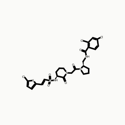 O=C(NC[C@H]1CCCN1C(=O)CN1CCC[C@H](NS(=O)(=O)/C=C/c2ccc(Cl)s2)C1=O)c1ccc(Cl)cc1Cl